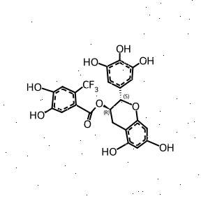 O=C(O[C@@H]1Cc2c(O)cc(O)cc2O[C@H]1c1cc(O)c(O)c(O)c1)c1cc(O)c(O)cc1C(F)(F)F